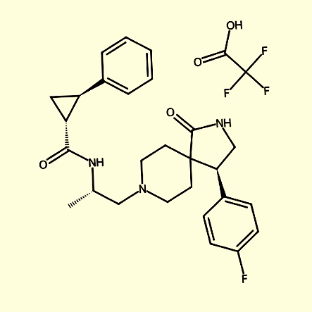 C[C@@H](CN1CCC2(CC1)C(=O)NC[C@H]2c1ccc(F)cc1)NC(=O)[C@@H]1C[C@H]1c1ccccc1.O=C(O)C(F)(F)F